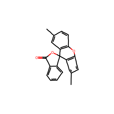 Cc1ccc2c(c1)C1(OC(=O)c3ccccc31)c1cc(C)ccc1O2